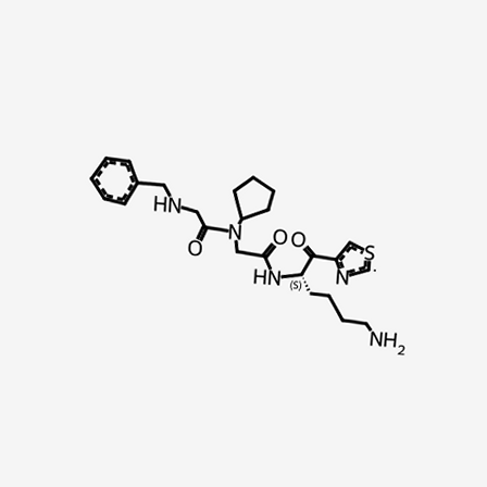 NCCCC[C@H](NC(=O)CN(C(=O)CNCc1ccccc1)C1CCCC1)C(=O)c1cs[c]n1